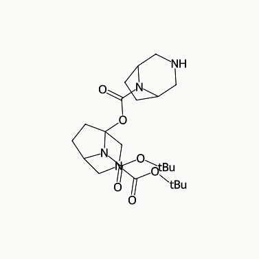 CC(C)(C)OC(=O)N1CC2CCC(OC(=O)N3C4CCC3CNC4)(C1)N2C(=O)OC(C)(C)C